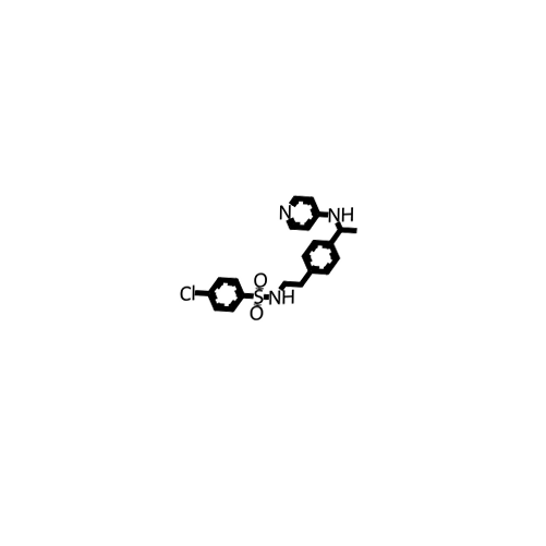 CC(Nc1ccncc1)c1ccc(CCNS(=O)(=O)c2ccc(Cl)cc2)cc1